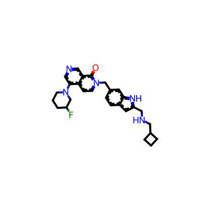 O=c1c2cncc(N3CCCC(F)C3)c2ccn1Cc1ccc2cc(CNCC3CCC3)[nH]c2c1